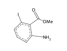 COC(=O)c1c(N)cccc1I